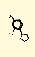 Cc1cc(Br)ccc1N1CCCS1